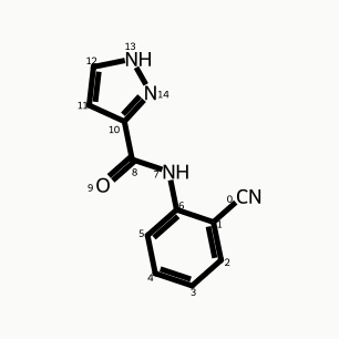 N#Cc1ccccc1NC(=O)c1cc[nH]n1